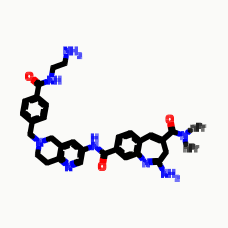 CCCN(CCC)C(=O)C1=Cc2ccc(C(=O)Nc3cnc4c(c3)CN(Cc3ccc(C(=O)NCCN)cc3)CC4)cc2N=C(N)C1